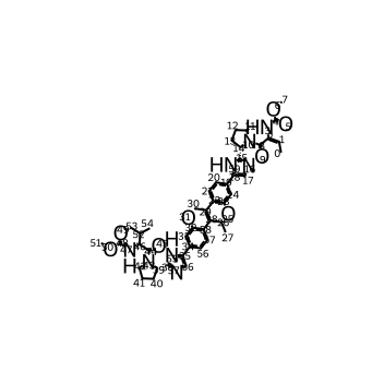 C/C=C(/NC(=O)OC)C(=O)N1CCC[C@H]1c1ncc(-c2ccc3c(c2)OC(C)C2=C3COc3cc(-c4cnc([C@@H]5CCCN5C(=O)[C@@H](NC(=O)OC)C(C)C)[nH]4)ccc32)[nH]1